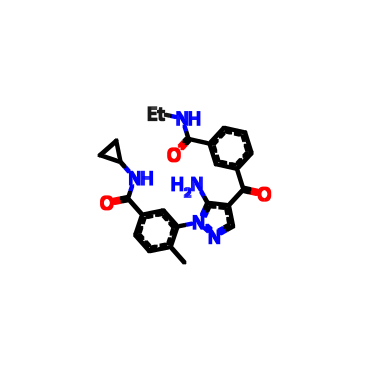 CCNC(=O)c1cccc(C(=O)c2cnn(-c3cc(C(=O)NC4CC4)ccc3C)c2N)c1